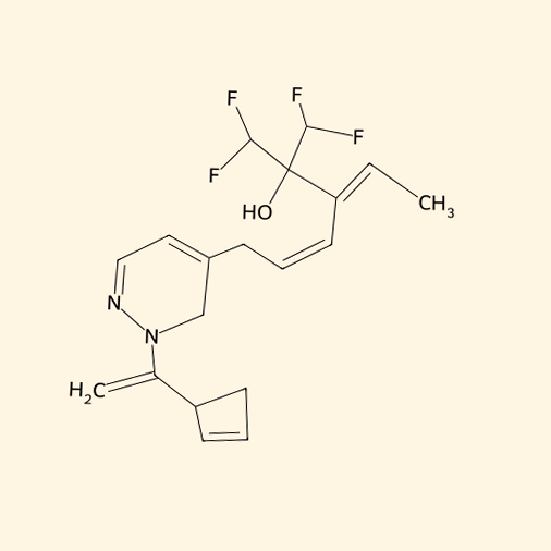 C=C(C1C=CC1)N1CC(C/C=C\C(=C/C)C(O)(C(F)F)C(F)F)=CC=N1